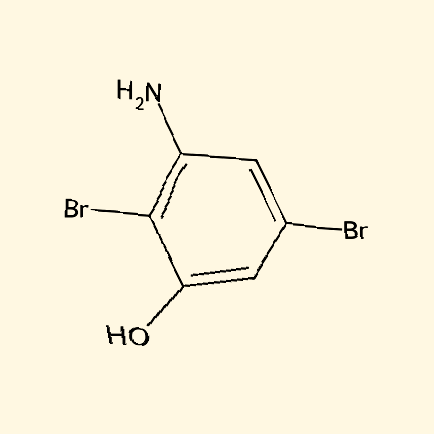 Nc1cc(Br)cc(O)c1Br